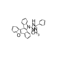 CN1N=C(c2ccccc2)NC1n1c2ccccc2c2c3c4ccccc4oc3c3ccccc3c21